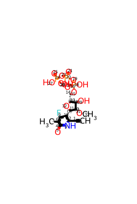 C#Cc1[nH]c(=O)c(C)c(F)c1[C@@H]1O[C@H](COP(=O)(O)OP(=O)(O)OP(=O)(O)O)C(O)[C@@H]1OC